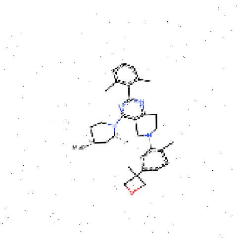 CO[C@@H]1CCN(c2nc(-c3c(C)cccc3C)nc3c2CN(c2cc(C4(C)COC4)ccc2C)CC3)[C@H](C)C1